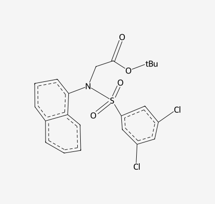 CC(C)(C)OC(=O)CN(c1cccc2ccccc12)S(=O)(=O)c1cc(Cl)cc(Cl)c1